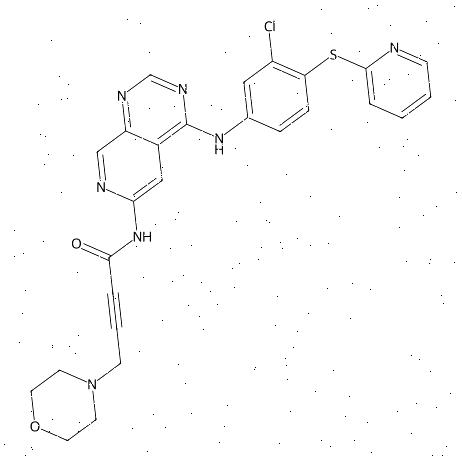 O=C(C#CCN1CCOCC1)Nc1cc2c(Nc3ccc(Sc4ccccn4)c(Cl)c3)ncnc2cn1